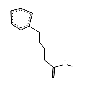 N=C(CCCCc1ccccc1)NO